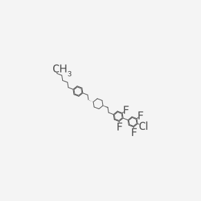 CCCCCCc1ccc(CC[C@H]2CC[C@H](CCc3cc(F)c(-c4cc(F)c(Cl)c(F)c4)c(F)c3)CC2)cc1